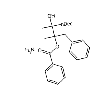 CCCCCCCCCCC(C)(O)C(C)(Cc1ccccc1)OC(=O)c1ccccc1.N